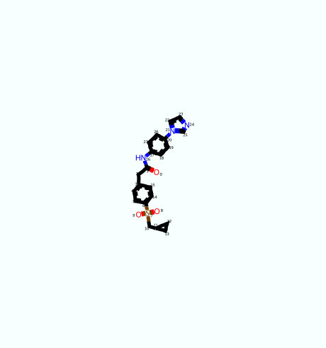 O=C(Cc1ccc(S(=O)(=O)CC2CC2)cc1)Nc1ccc(-n2ccnc2)cc1